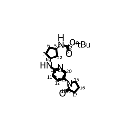 CC(C)(C)OC(=O)N[C@H]1CC[C@H](Nc2ccc(N3CCCC3=O)cn2)C1